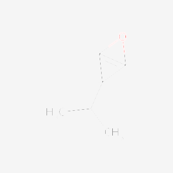 CC(C)[C]1C2=C1O2